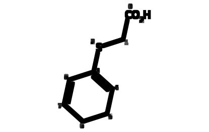 O=C(O)CSC1=CCCC=C1